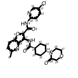 Cc1ccc2oc(C(=O)Nc3ccc(Cl)cn3)c(NC(=O)[C@H]3CC[C@H](N4CCOCC4=O)CC3)c2n1